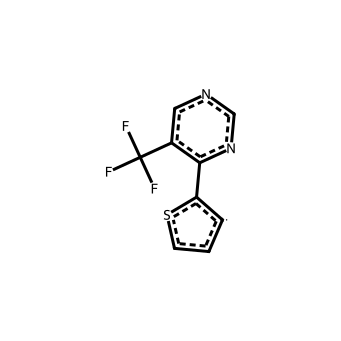 FC(F)(F)c1cncnc1-c1[c]ccs1